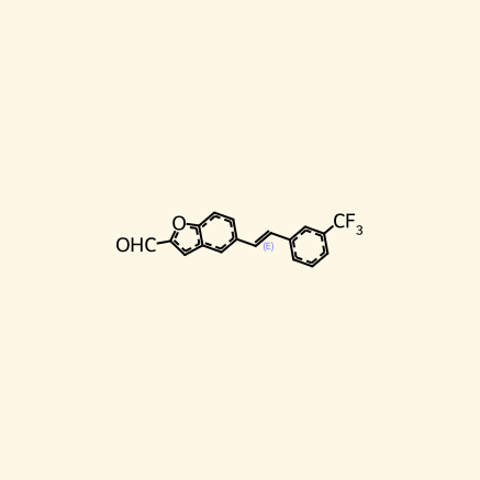 O=Cc1cc2cc(/C=C/c3cccc(C(F)(F)F)c3)ccc2o1